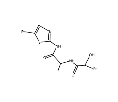 CC(NC(=O)C(O)C(C)C)C(=O)Nc1ncc(C(C)C)s1